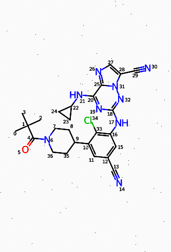 CC(C)(C)C(=O)N1CCC(c2cc(C#N)cc(Nc3nc(NC4CC4)c4ncc(C#N)n4n3)c2Cl)CC1